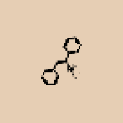 [C-]#[N+]C(=Cc1ccccc1)c1ccccc1